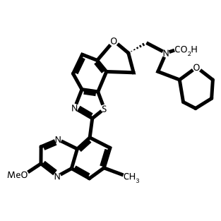 COc1cnc2c(-c3nc4ccc5c(c4s3)C[C@@H](CN(CC3CCCCO3)C(=O)O)O5)cc(C)cc2n1